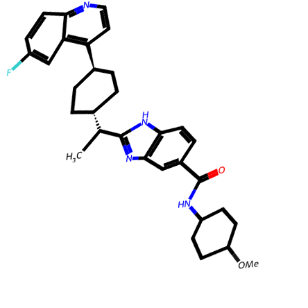 COC1CCC(NC(=O)c2ccc3[nH]c(C(C)[C@H]4CC[C@H](c5ccnc6ccc(F)cc65)CC4)nc3c2)CC1